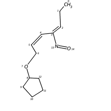 CC/C=C(\C=C/COC1CCCC1)N=O